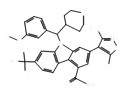 COc1cccc(C(C2CCOCC2)n2c3cc(C(C)(C)O)ccc3c3c(C(N)=O)cc(-c4c(C)noc4C)cc32)c1